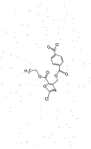 CCOC(=O)c1oc(Cl)nc1COC(=O)c1ccc([N+](=O)[O-])cc1